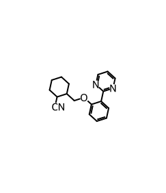 N#CC1CCCCC1COc1ccccc1-c1ncccn1